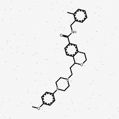 COc1ccc(N2CCN(CCC3OCCc4cc(C(=O)NCc5ccccc5C)ccc43)CC2)cc1